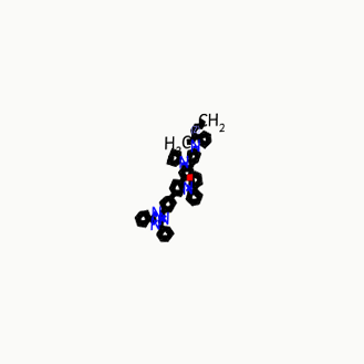 C=C/C=C\c1c(C)n(-c2ccc3c4ccc(-c5ccc(-c6ccc(-c7nc(-c8ccccc8)nc(-c8ccccc8)n7)cc6)cc5-n5c6ccccc6c6ccccc65)cc4n(-c4ccccc4)c3c2)c2ccccc12